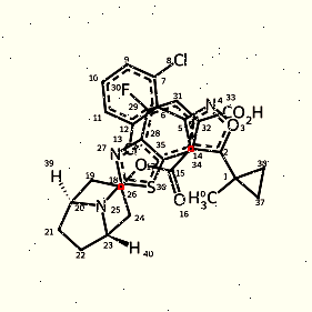 CC1(c2onc(-c3c(Cl)cccc3Cl)c2C(=O)OC2C[C@@H]3CC[C@@H](C2)N3c2nc3c(F)cc(C(=O)O)cc3s2)CC1